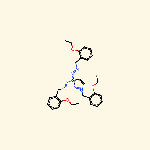 C=C[Si](N=NCc1ccccc1OCC)(N=NCc1ccccc1OCC)N=NCc1ccccc1OCC